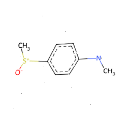 C[N]c1ccc([S+](C)[O-])cc1